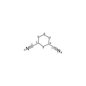 N#CC1C[CH]CC(C#N)C1